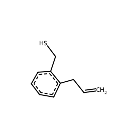 C=CCc1ccccc1CS